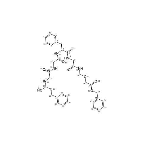 O=C(CNC(=O)[C@H](Cc1ccccc1)NC(=O)CNC(=O)CNC(O)OCc1ccccc1)NCOCC(=O)OCc1ccccc1